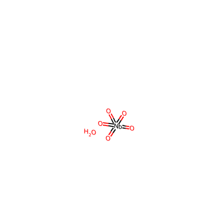 O.[O]=[Nb](=[O])(=[O])(=[O])=[O]